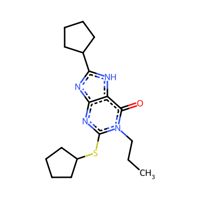 CCCn1c(SC2CCCC2)nc2nc(C3CCCC3)[nH]c2c1=O